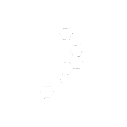 O=C(NCc1c[nH]c2cc(Cl)c(-c3ccccc3)cc2c1=O)NC1CCNCC1